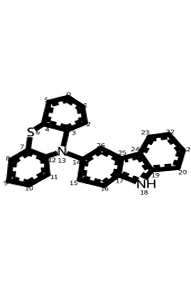 c1ccc2c(c1)Sc1ccccc1N2c1ccc2[nH]c3ccccc3c2c1